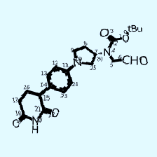 CC(C)(C)OC(=O)N(CC=O)[C@H]1CCN(c2ccc(C3CCC(=O)NC3=O)cc2)C1